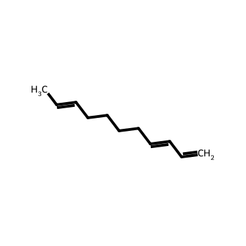 C=CC=CCCCCC=CC